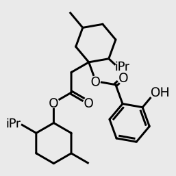 CC1CCC(C(C)C)C(OC(=O)CC2(OC(=O)c3ccccc3O)CC(C)CCC2C(C)C)C1